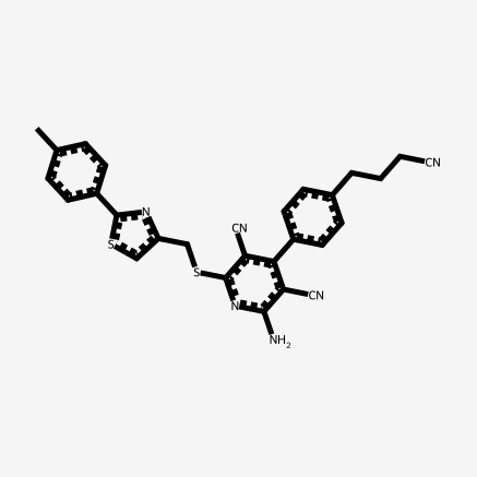 Cc1ccc(-c2nc(CSc3nc(N)c(C#N)c(-c4ccc(CCCC#N)cc4)c3C#N)cs2)cc1